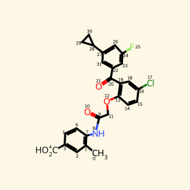 Cc1cc(C(=O)O)ccc1NC(=O)COc1ccc(Cl)cc1C(=O)c1cc(F)cc(C2CC2)c1